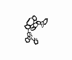 C1=Cc2ccc(-c3cnc4c(c3)c3ccccc3n4-c3ccccn3)cc2C2(c3ccccc31)c1ccccc1-c1c2ccc2c1oc1ccccc12